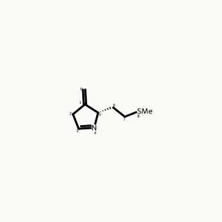 C=C1CC=N[C@H]1CCSC